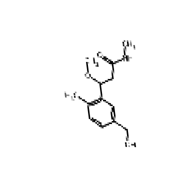 CNC(=O)CC(OC)c1cc(CO)ccc1C